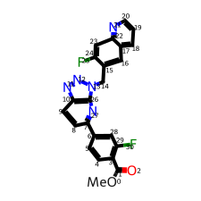 COC(=O)c1ccc(-c2ccc3nnn(Cc4cc5cccnc5cc4F)c3n2)cc1F